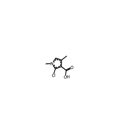 Cc1cn(C)c(Cl)c1C(=O)O